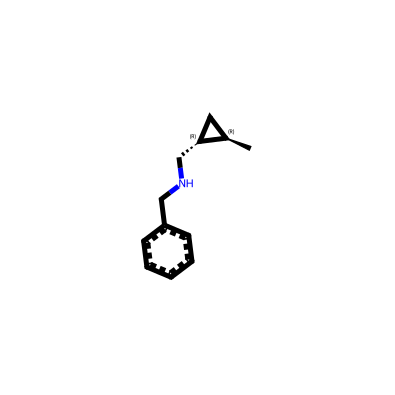 C[C@@H]1C[C@H]1CNCc1ccccc1